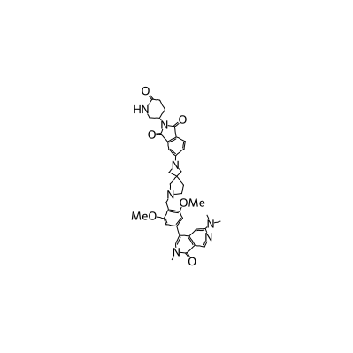 COc1cc(-c2cn(C)c(=O)c3cnc(N(C)C)cc23)cc(OC)c1CN1CCC2(C1)CN(c1ccc3c(c1)C(=O)N(C1CCC(=O)NC1)C3=O)C2